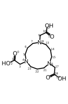 O=C(O)CN1CCCN(CC(=O)O)CCCN(CC(=O)O)CCC1